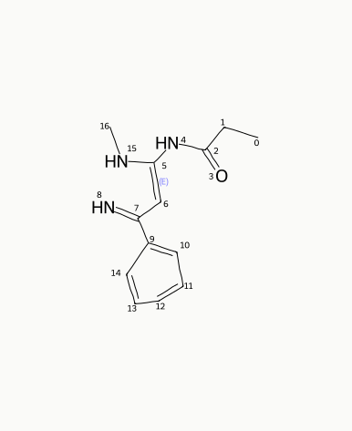 CCC(=O)N/C(=C/C(=N)c1ccccc1)NC